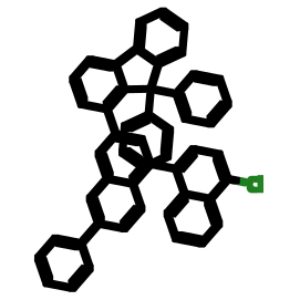 Clc1ccc(-c2cc(-c3cccc4c3C(c3ccccc3)(c3ccccc3)c3ccccc3-4)cc3cc(-c4ccccc4)ccc23)c2ccccc12